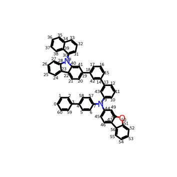 c1ccc(-c2ccc(N(c3cccc(-c4cccc(-c5ccc6c7ccccc7n(-c7cccc8ccccc78)c6c5)c4)c3)c3ccc4c(c3)oc3ccccc34)cc2)cc1